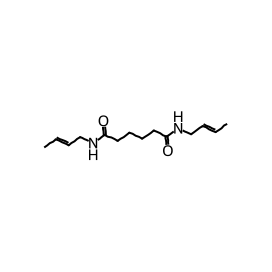 C/C=C/CNC(=O)CCCCC(=O)NC/C=C/C